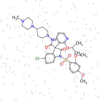 COc1ccc(S(=O)(=O)N2C(=O)C(C(=O)NN3CCC(N4CCN(C)CC4)CC3)(c3cccnc3OC(C)C)c3cc(Cl)ccc32)c(OC)c1